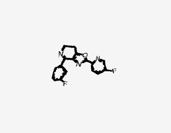 Fc1ccc(-c2nc3c(o2)CCN=C3c2cccc(F)c2)nc1